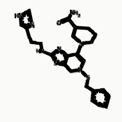 NC(=O)C1CCCN(C2=CN(SCc3ccccc3)Cc3sc(NCCc4c[nH]cn4)nc32)C1